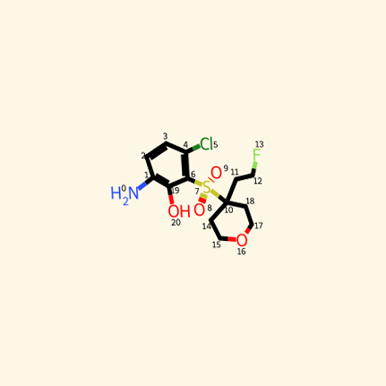 Nc1ccc(Cl)c(S(=O)(=O)C2(CCF)CCOCC2)c1O